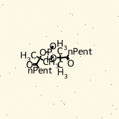 CCCCCC(=O)C(C)(C)O[PH](=O)OC(C)(C)C(=O)CCCCC